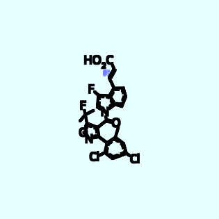 Cc1cc(Cl)cc(Cl)c1-c1noc(C(C)(C)F)c1C(=O)n1cc(F)c2c(/C=C/C(=O)O)cccc21